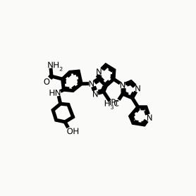 Cc1c(-c2cccnc2)ncn1-c1ccnc2c1c(C(C)C)nn2-c1ccc(C(N)=O)c(NC2CCC(O)CC2)c1